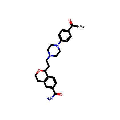 CNC(=O)c1ccc(N2CCN(CCC3OCCc4cc(C(N)=O)ccc43)CC2)cc1